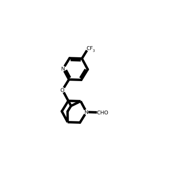 O=CN1CC2CCC1C(Oc1ccc(C(F)(F)F)cn1)C2